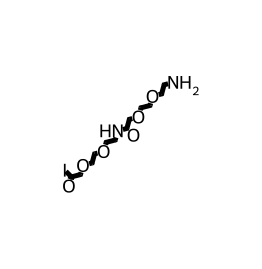 NCCOCCOCC(=O)NCCOCCOCC(=O)I